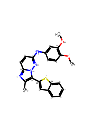 COc1ccc(Nc2ccc3nc(C)c(-c4cc5ccccc5s4)n3n2)cc1OC